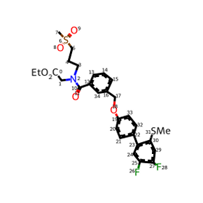 CCOC(=O)CN(CCCS(C)(=O)=O)C(=O)c1cccc(COc2ccc(-c3cc(F)c(F)cc3SC)cc2)c1